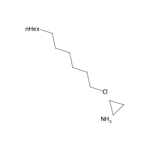 C1CC1.CCCCCCCCCCCCCl.N